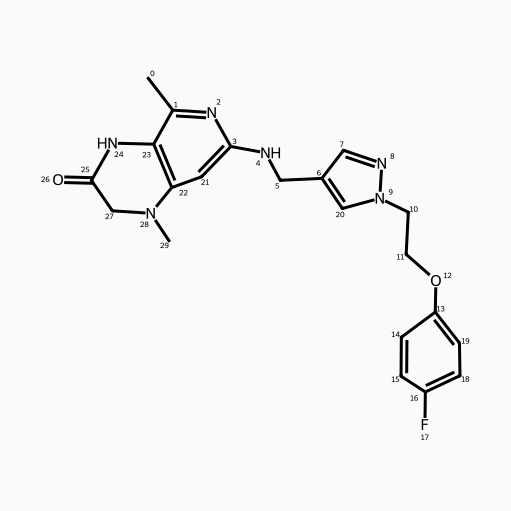 Cc1nc(NCc2cnn(CCOc3ccc(F)cc3)c2)cc2c1NC(=O)CN2C